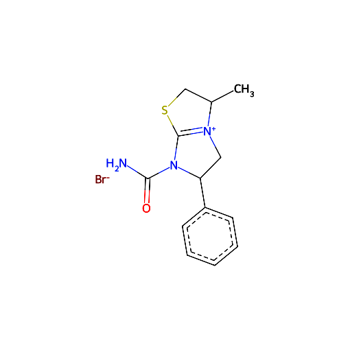 CC1CSC2=[N+]1CC(c1ccccc1)N2C(N)=O.[Br-]